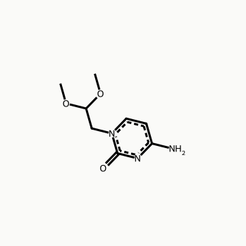 COC(Cn1ccc(N)nc1=O)OC